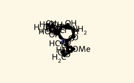 C#C/C=C1\C#CC2=CC=CC2(O[C@@H]2OC(C)(C)[C@@H](N(C)C)[C@@H](O)[C@H]2O)[C@@H](C)Oc2c(O)cc(cc2Cl)[C@@H](N)CC(=O)OC[C@@H]1OC(=O)c1cc(OC)cc2c1NC(=O)C(=C)O2